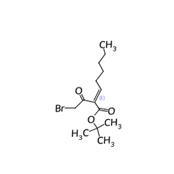 CCCCC/C=C(\C(=O)CBr)C(=O)OC(C)(C)C